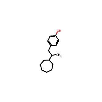 CC(Cc1ccc(O)cc1)C1CCCCCC1